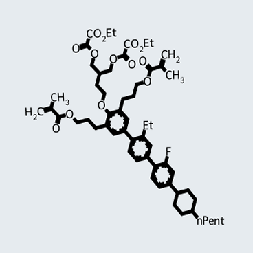 C=C(C)C(=O)OCCCc1cc(-c2ccc(-c3ccc(C4CCC(CCCCC)CC4)cc3F)cc2CC)cc(CCCOC(=O)C(=C)C)c1OCCC(COC(=O)C(=O)OCC)COC(=O)C(=O)OCC